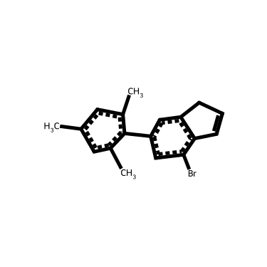 Cc1cc(C)c(-c2cc(Br)c3c(c2)CC=C3)c(C)c1